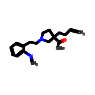 C=CCCC1(C(=O)NC)CCN(CCc2ccccc2N=C)C1